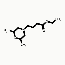 CCOC(=O)CCCN1CC(C)OC(C)C1